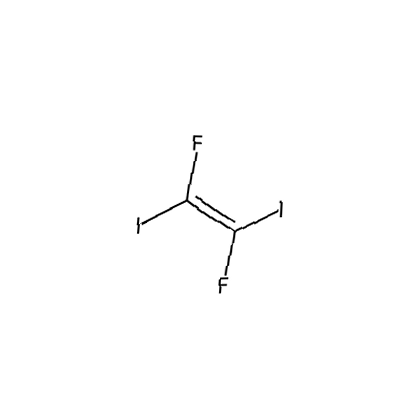 FC(I)=C(F)I